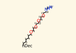 CCCCCCCCCCCCCCCCOCCOCCOCCOCCN=[N+]=[N-]